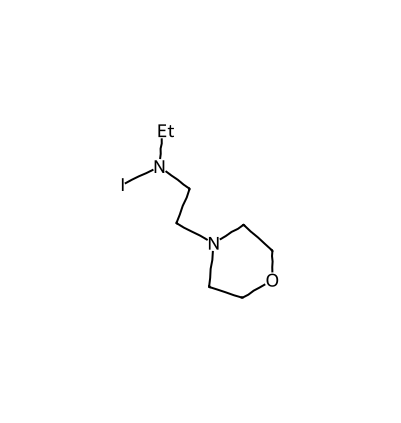 CCN(I)CCN1CCOCC1